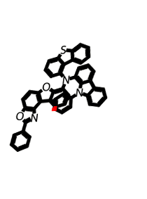 c1ccc(-c2nc3c(ccc4oc5c(N(c6cccc7sc8ccccc8c67)c6cccc7c8ccccc8n(-c8ccccc8)c67)cccc5c43)o2)cc1